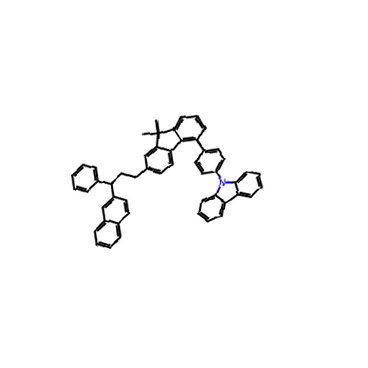 CC1(C)c2cc(CCC(c3ccccc3)c3ccc4ccccc4c3)ccc2-c2c(-c3ccc(-n4c5ccccc5c5ccccc54)cc3)cccc21